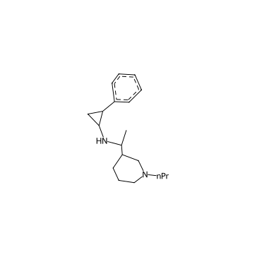 CCCN1CCCC(C(C)NC2CC2c2ccccc2)C1